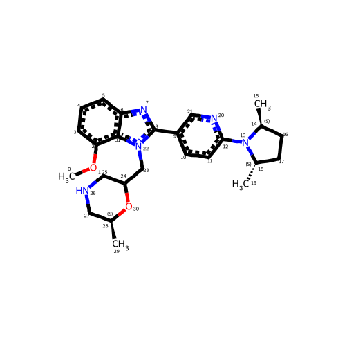 COc1cccc2nc(-c3ccc(N4[C@@H](C)CC[C@@H]4C)nc3)n(CC3CNC[C@H](C)O3)c12